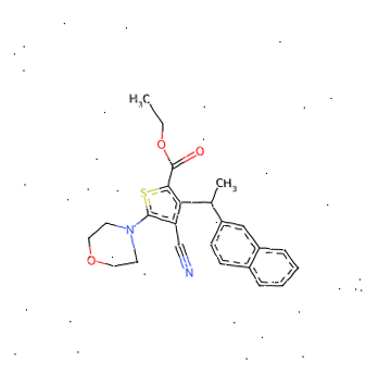 CCOC(=O)c1sc(N2CCOCC2)c(C#N)c1C(C)c1ccc2ccccc2c1